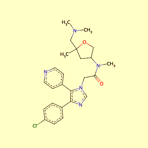 CN(C)CC1(C)CC(N(C)C(=O)Cn2cnc(-c3ccc(Cl)cc3)c2-c2ccncc2)CO1